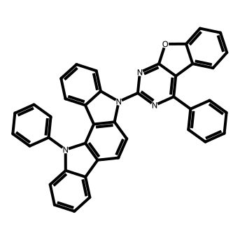 c1ccc(-c2nc(-n3c4ccccc4c4c3ccc3c5ccccc5n(-c5ccccc5)c34)nc3oc4ccccc4c23)cc1